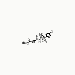 C=CC(C)(Oc1ccc(Cl)cn1)[C@@H](C)NNCCNC(=O)OC(C)(C)C